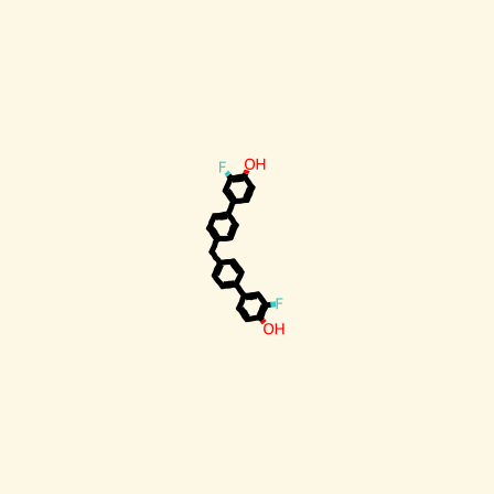 Oc1ccc(-c2ccc(Cc3ccc(-c4ccc(O)c(F)c4)cc3)cc2)cc1F